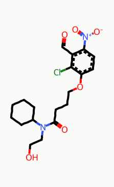 O=Cc1c([N+](=O)[O-])ccc(OCCCC(=O)N(CCO)C2CCCCC2)c1Cl